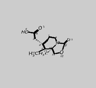 CC1[C@H](CC(=O)O)CCN2C(=O)OC[C@@]12C